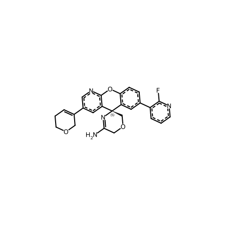 NC1=N[C@@]2(COC1)c1cc(-c3cccnc3F)ccc1Oc1ncc(C3=CCCOC3)cc12